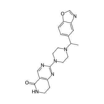 CC(c1ccc2ocnc2c1)N1CCN(c2ncc3c(n2)CCNC3=O)CC1